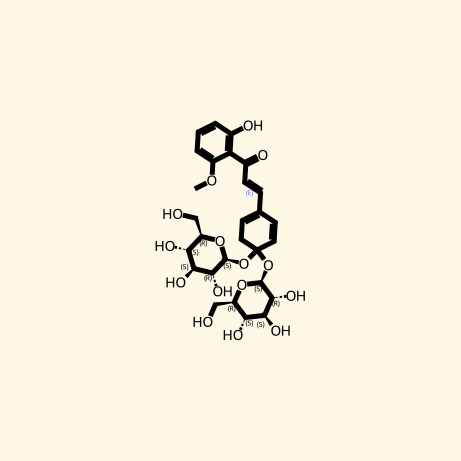 COc1cccc(O)c1C(=O)/C=C/C1=CCC(O[C@@H]2O[C@H](CO)[C@@H](O)[C@H](O)[C@H]2O)(O[C@@H]2O[C@H](CO)[C@@H](O)[C@H](O)[C@H]2O)C=C1